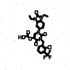 CCn1c(=O)n(CC)c2cc(-n3cc(OC(=O)O)c(=O)n(Cc4cccc(C(F)(F)F)c4Cl)c3=O)ccc21